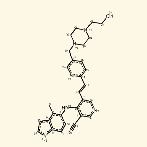 Cc1c(Nc2c(C#N)cncc2C=Cc2ccc(CN3CCN(CCO)CC3)cn2)ccc2[nH]ccc12